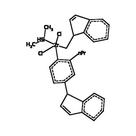 CCCc1cc(C2C=Cc3ccccc32)cc[c]1[Zr]([Cl])([Cl])([CH2]C1C=Cc2ccccc21)[SiH](C)C